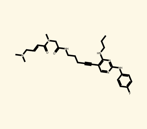 CCCNc1nc(Nc2ccc(F)cc2)ncc1C#CCCCNC(=O)CN(C)C(=O)/C=C/CN(C)C